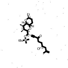 C=C(I)C[C@H](Cl)CCC(=O)C#C[C@H](O[Si](C)(C)C(C)(C)C)[C@@H]1O[C@H]2CC[C@H](CC)O[C@@H]2[C@H](C)[C@@H]1C